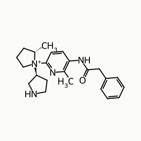 Cc1nc([N+]2([C@H]3CCNC3)CCC[C@@H]2C)ccc1NC(=O)Cc1ccccc1